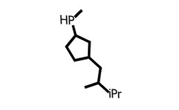 CPC1CCC(CC(C)C(C)C)C1